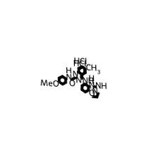 COC1CCC(NC(=O)c2nc(N[C@H]3CCCC[C@H]3NC(=N)N3CCCO3)c3cc(C)ccc3n2)CC1.Cl.Cl